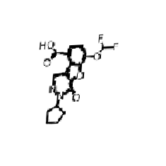 O=C(O)c1ccc(OC(F)F)c2oc3c(=O)n(C4CCCC4)ncc3c12